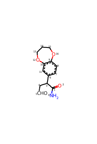 NC(=O)C(CC=O)c1ccc2c(c1)OCCCO2